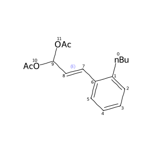 CCCCc1ccccc1/C=C/C(OC(C)=O)OC(C)=O